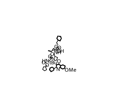 C=CC1CC1(NC(=O)C1C[C@@H](Oc2cc(-c3ccccc3)nc3cc(OC)ccc23)CN1C(=O)C(NC(=O)OC1CCCC1)C(C)(C)C)P(=O)(O)OCCc1ccccc1